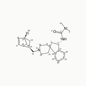 CN(C)C(=O)N[C@H]1CC2(CCN(C[C@@H]3C[C@H]4C=CC3C4)CC2)c2ccccc21